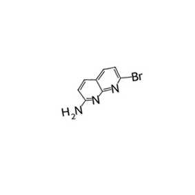 Nc1ccc2ccc(Br)nc2n1